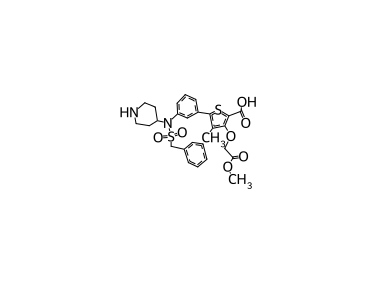 COC(=O)COc1c(C(=O)O)sc(-c2cccc(N(C3CCNCC3)S(=O)(=O)Cc3ccccc3)c2)c1C